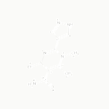 CCC1N=C(c2cn[nH]c2)N(C)C(C)=C1C(N)=O